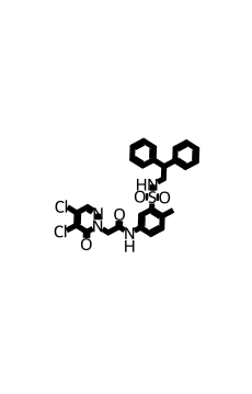 Cc1ccc(NC(=O)Cn2ncc(Cl)c(Cl)c2=O)cc1S(=O)(=O)NCC(c1ccccc1)c1ccccc1